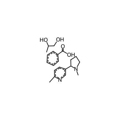 CC(O)CO.Cc1ccc(C2CCCN2C)cn1.O=C(O)c1ccccc1